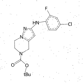 CC(C)(C)OC(=O)N1CCn2nc(Nc3ccc(Cl)cc3F)cc2C1